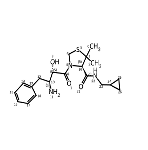 CC1(C)SCN(C(=O)[C@@H](O)[C@@H](N)Cc2ccccc2)[C@@H]1C(=O)NCC1CC1